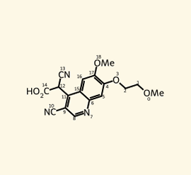 COCCOc1cc2ncc(C#N)c(C(C#N)C(=O)O)c2cc1OC